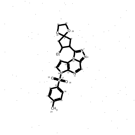 CCC1CC2(CC1c1nnc3cnc4c(ccn4S(=O)(=O)c4ccc(C)cc4)n13)OCCO2